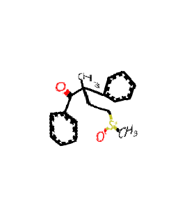 C[S+]([O-])CCC(C)(C(=O)c1ccccc1)c1ccccc1